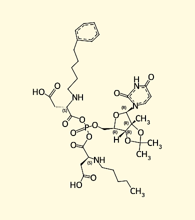 CCCCCN[C@@H](CC(=O)O)C(=O)OP(=O)(OC[C@H]1O[C@@H](n2ccc(=O)[nH]c2=O)[C@]2(C)OC(C)(C)O[C@H]12)OC(=O)[C@H](CC(=O)O)NCCCCCc1ccccc1